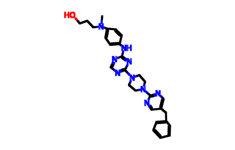 CN(CCCO)c1ccc(Nc2ncnc(N3CCN(c4ncc(Cc5ccccc5)cn4)CC3)n2)cc1